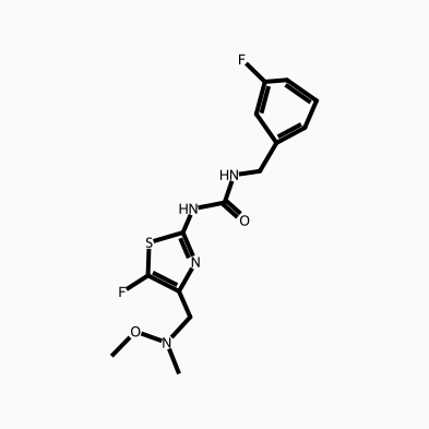 CON(C)Cc1nc(NC(=O)NCc2cccc(F)c2)sc1F